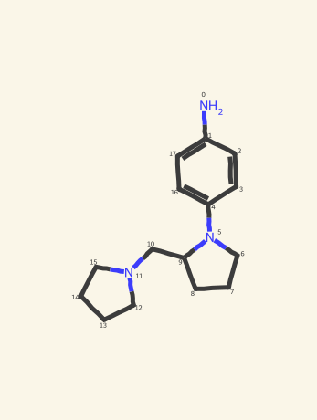 Nc1ccc(N2CCCC2CN2CCCC2)cc1